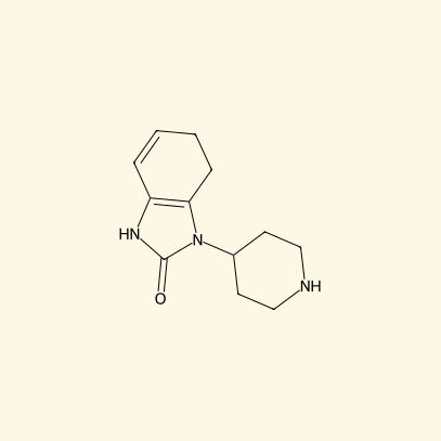 O=c1[nH]c2c(n1C1CCNCC1)CCC=C2